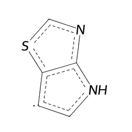 [c]1c[nH]c2ncsc12